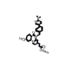 COC(=O)/C=C/c1ccnc(N(Cc2ccc(-c3ccc(N(C)C)nc3)cc2)C(=O)[C@H]2CC[C@H](O)CC2)c1